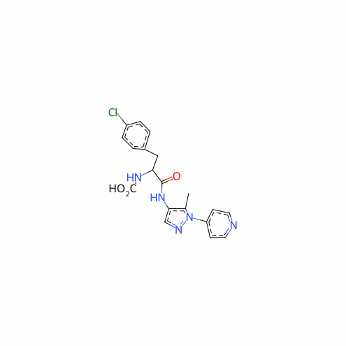 Cc1c(NC(=O)C(Cc2ccc(Cl)cc2)NC(=O)O)cnn1-c1ccncc1